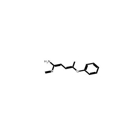 C=N/C(N)=C\C=C(/C)Oc1ccccc1